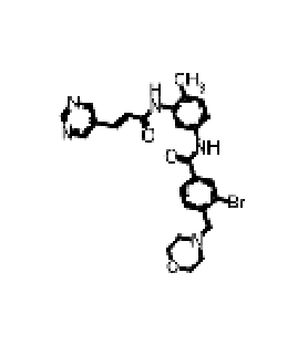 Cc1ccc(NC(=O)c2ccc(CN3CCOCC3)c(Br)c2)cc1NC(=O)/C=C/c1cncnc1